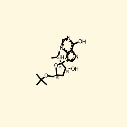 C[SiH](C)[C@@]1(n2cnc3c(O)ncnc32)O[C@H](COC(C)(C)C)C[C@H]1O